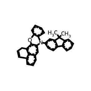 CC1(C)c2ccccc2-c2ccc(N3c4ccccc4Oc4c3cc3cccc5c3c4CC=C5)cc21